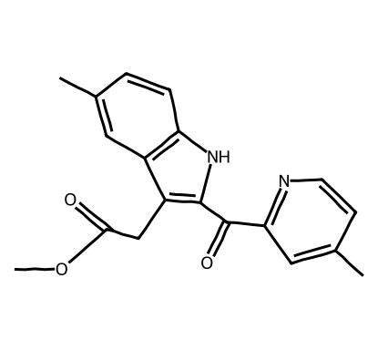 COC(=O)Cc1c(C(=O)c2cc(C)ccn2)[nH]c2ccc(C)cc12